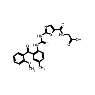 COc1ccccc1C(=O)c1cc(C)ccc1NC(=O)Nc1ncc(C(=O)NCC(=O)O)s1